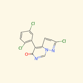 O=c1ncn2nc(Cl)ccc2c1-c1cc(Cl)ccc1Cl